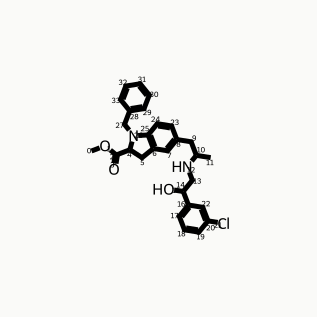 COC(=O)C1Cc2cc(CC(C)NCC(O)c3cccc(Cl)c3)ccc2N1Cc1ccccc1